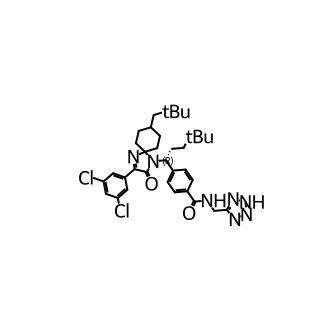 CC(C)(C)CC[C@H](c1ccc(C(=O)NCc2nn[nH]n2)cc1)N1C(=O)C(c2cc(Cl)cc(Cl)c2)=NC12CCC(CC(C)(C)C)CC2